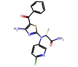 C[C@H](C(N)=O)N(c1ccc(F)nc1)c1nc(N)c(C(=O)c2ccccc2)s1